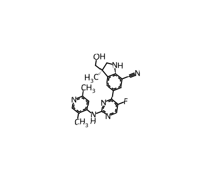 Cc1cc(Nc2ncc(F)c(-c3cc(C#N)c4c(c3)[C@@](C)(CO)CN4)n2)c(C)cn1